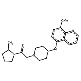 COc1ccc(NC2CCN(CC(=O)N3CCC[C@H]3C)CC2)c2cccnc12